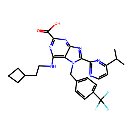 CC(C)c1ccnc(-c2nc3nc(C(=O)O)nc(NCCC4CCC4)c3n2Cc2ccc(C(F)(F)F)cc2)n1